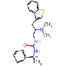 C[C@H](NC(=O)NCC(Cc1csc2ccccc12)N(C)C)c1ccccc1